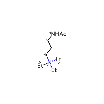 CC[N+](CC)(CC)CCCNC(C)=O